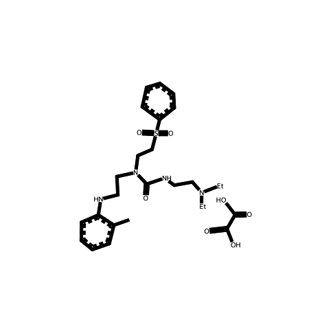 CCN(CC)CCNC(=O)N(CCNc1ccccc1C)CCS(=O)(=O)c1ccccc1.O=C(O)C(=O)O